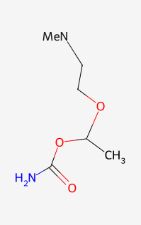 CNCCOC(C)OC(N)=O